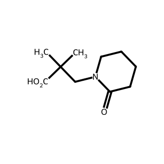 CC(C)(CN1CCCCC1=O)C(=O)O